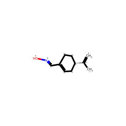 C=C(C)[C@@H]1CC=C(/C=N/O)CC1